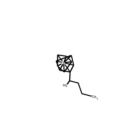 CCCC(S)[C]12[CH]3[CH]4[CH]5[CH]1[Fe]45321678[CH]2[CH]1[CH]6[CH]7[CH]28